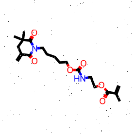 C=C(C)C(=O)OCCNC(=O)OCCCCCN1C(=O)C(=C)CC(C)(C)C1=O